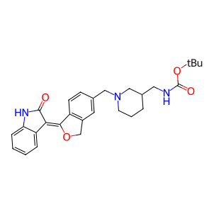 CC(C)(C)OC(=O)NCC1CCCN(Cc2ccc3c(c2)COC3=C2C(=O)Nc3ccccc32)C1